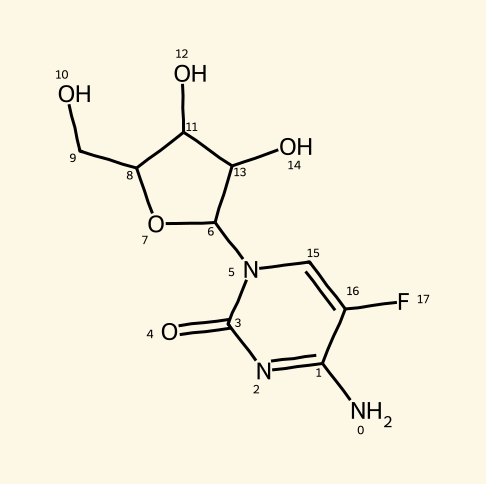 Nc1nc(=O)n(C2OC(CO)C(O)C2O)cc1F